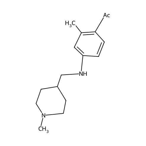 CC(=O)c1ccc(NCC2CCN(C)CC2)cc1C